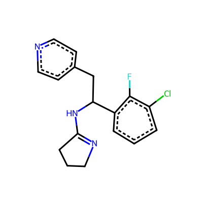 Fc1c(Cl)cccc1C(Cc1ccncc1)NC1=NCCC1